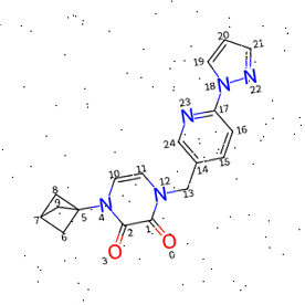 O=c1c(=O)n(C23CC(C2)C3)ccn1Cc1ccc(-n2cccn2)nc1